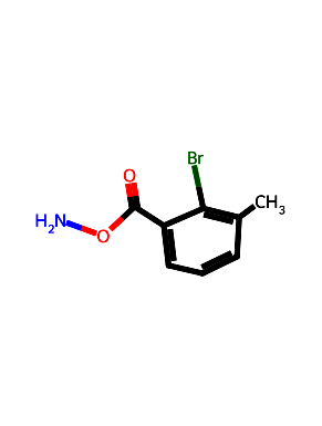 Cc1cccc(C(=O)ON)c1Br